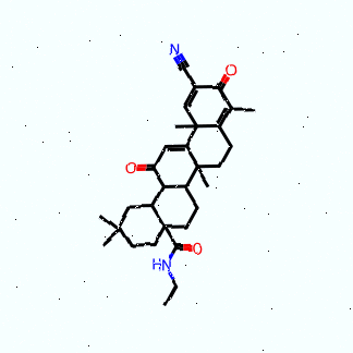 CCNC(=O)C12CCC3C(C(=O)C=C4C5(C)C=C(C#N)C(=O)C(C)=C5CCC43C)C1CC(C)(C)CC2